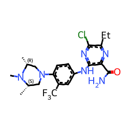 CCc1nc(C(N)=O)c(Nc2ccc(N3C[C@@H](C)N(C)[C@@H](C)C3)c(C(F)(F)F)c2)nc1Cl